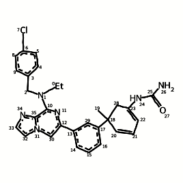 CCN(Cc1ccc(Cl)cc1)c1nc(-c2cccc(C3(C)C=CC=C(NC(N)=O)C3)c2)cn2ccnc12